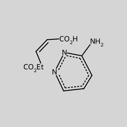 CCOC(=O)/C=C\C(=O)O.Nc1cccnn1